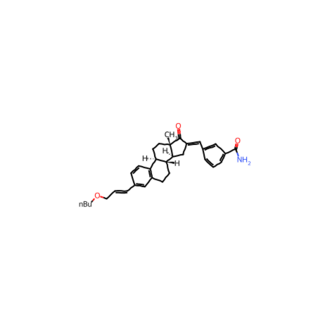 CCCCOC/C=C/c1ccc2c(c1)CC[C@@H]1[C@@H]2CC[C@]2(C)C(=O)/C(=C/c3cccc(C(N)=O)c3)C[C@@H]12